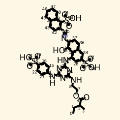 CCC(C)C(=O)OCCNc1nc(Nc2ccc(S(=O)(=O)O)cc2)nc(Nc2cc(S(=O)(=O)O)cc3ccc(/N=N/c4ccc5ccccc5c4S(=O)(=O)O)c(O)c23)n1